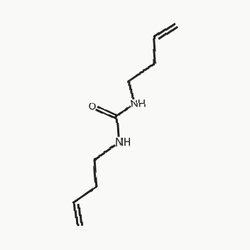 C=CCCNC(=O)NCCC=C